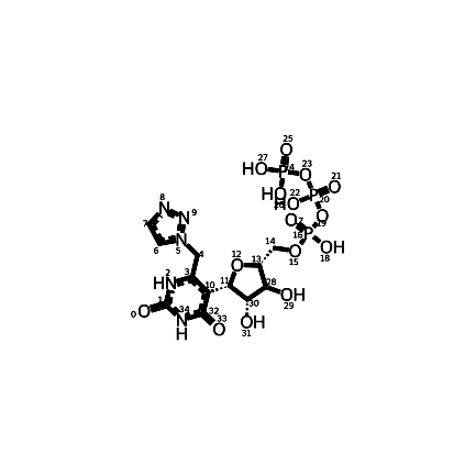 O=c1[nH]c(Cn2ccnn2)c([C@@H]2O[C@H](COP(=O)(O)OP(=O)(O)OP(=O)(O)O)C(O)[C@@H]2O)c(=O)[nH]1